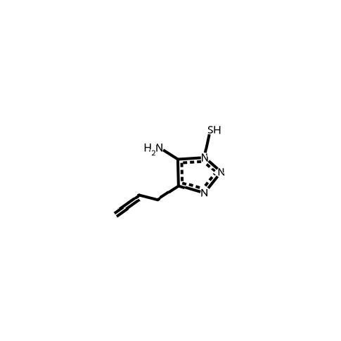 C=CCc1nnn(S)c1N